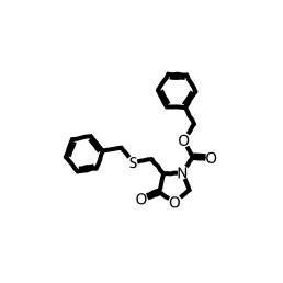 O=C1OCN(C(=O)OCc2ccccc2)C1CSCc1ccccc1